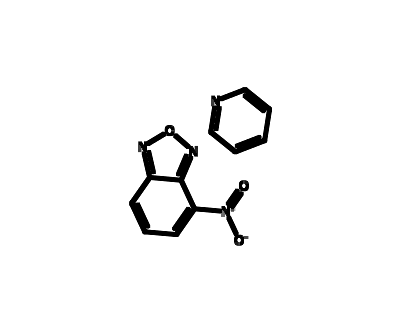 O=[N+]([O-])c1cccc2nonc12.c1ccncc1